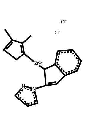 CC1=CC[C]([Zr+2][CH]2C(n3cccn3)=Cc3ccccc32)=C1C.[Cl-].[Cl-]